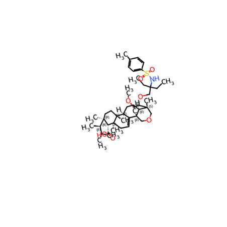 CCC(CC)(CO[C@H]1[C@H](OC)C[C@@]23COC[C@]1(C)[C@@H]2CC[C@H]1C3=CC[C@@]2(C)[C@H](C(=O)O)[C@@](C)([C@H](C)C(C)C)CC[C@]12C)NS(=O)(=O)c1ccc(C)cc1